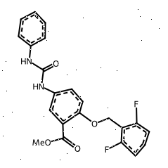 COC(=O)c1cc(NC(=O)Nc2ccccc2)ccc1OCc1c(F)cccc1F